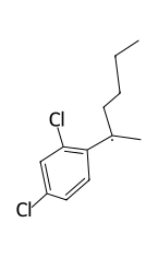 CCCC[C](C)c1ccc(Cl)cc1Cl